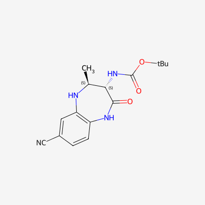 C[C@@H]1Nc2cc(C#N)ccc2NC(=O)[C@H]1NC(=O)OC(C)(C)C